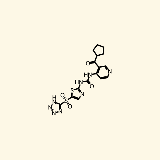 O=C(Nc1ncc(S(=O)(=O)c2nnn[nH]2)s1)Nc1ccncc1C(=O)C1CCCC1